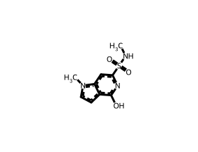 CNS(=O)(=O)c1cc2c(ccn2C)c(O)n1